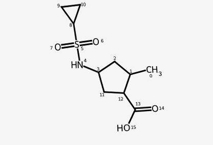 CC1CC(NS(=O)(=O)C2CC2)CC1C(=O)O